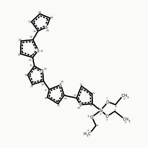 CCO[Si](OCC)(OCC)c1ccc(-c2ccc(-c3ccc(-c4ccc(-c5cccs5)s4)s3)s2)s1